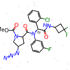 COC(=O)N1CC(N=[N+]=[N-])CC1C(=O)N(c1cccc(F)c1)[C@H](C(=O)NC1CC(F)(F)C1)c1ccccc1Cl